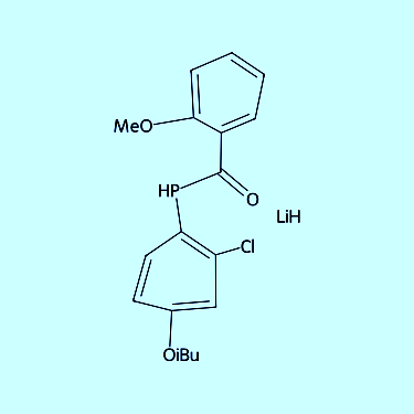 COc1ccccc1C(=O)Pc1ccc(OCC(C)C)cc1Cl.[LiH]